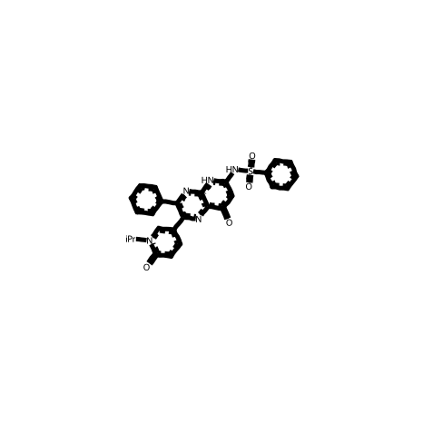 CC(C)n1cc(-c2nc3c(=O)cc(NS(=O)(=O)c4ccccc4)[nH]c3nc2-c2ccccc2)ccc1=O